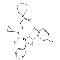 O=C(CO[C@H](C(=O)N1CC(c2cc(F)ccc2F)=C[C@H]1c1ccccc1)C1CC1)N1CCOCC1